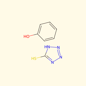 Oc1ccccc1.Sc1nnn[nH]1